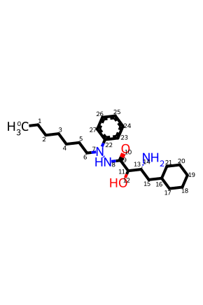 CCCCCCCN(NC(=O)C(O)[C@H](N)CC1CCCCC1)c1ccccc1